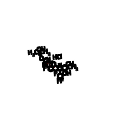 CC(C)(O)CCOc1cnc(N2CCC(c3nc4c(c(C5CCC(F)(F)CC5)c3[C@@H](F)c3ccc(C(F)(F)F)cc3)[C@@H](O)CC(C)(C)C4)CC2)nc1.Cl